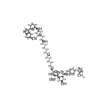 Cc1ncsc1-c1ccc(CNC(=O)[C@@H]2C[C@@H](O)CN2C(=O)[C@@H](NC(=O)COCCCCCOCCCCCNCCN2CCC(Nc3cccc(-c4cnc5ccc(C#N)cn45)n3)C2)C(C)(C)C)cc1